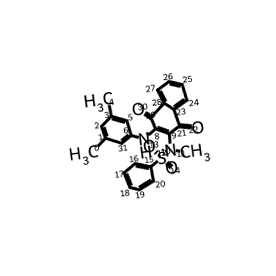 Cc1cc(C)cc(NC2=C(N(C)S(=O)(=O)c3ccccc3)C(=O)c3ccccc3C2=O)c1